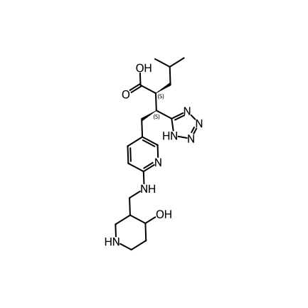 CC(C)C[C@H](C(=O)O)[C@H](Cc1ccc(NCC2CNCCC2O)nc1)c1nnn[nH]1